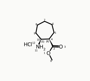 COC(=O)[C@@H]1CCCCC[C@@H]1N.Cl